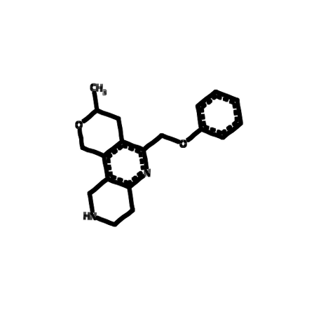 CC1Cc2c(COc3ccccc3)nc3c(c2CO1)CNCC3